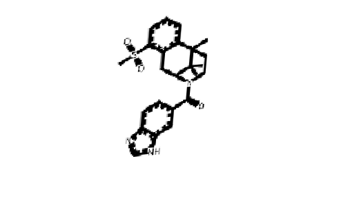 CC12CCN(C(=O)c3ccc4nc[nH]c4c3)C(Cc3c1cccc3S(C)(=O)=O)C2(C)C